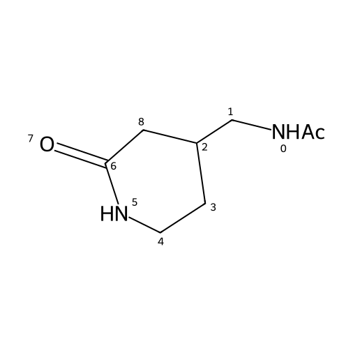 CC(=O)NCC1CCNC(=O)C1